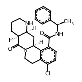 C[C@@H](NC(=O)c1ccc(Cl)c2c1[C@@H]1C[C@@H]3NCCC[C@@H]3C(=O)N1CC2)c1ccccc1